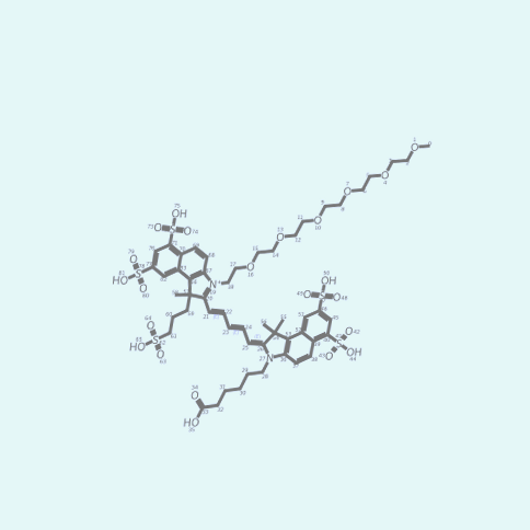 COCCOCCOCCOCCOCCOCC[N+]1=C(/C=C/C=C/C=C2/N(CCCCCC(=O)O)c3ccc4c(S(=O)(=O)O)cc(S(=O)(=O)O)cc4c3C2(C)C)C(C)(CCCS(=O)(=O)O)c2c1ccc1c(S(=O)(=O)O)cc(S(=O)(=O)O)cc21